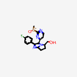 C[S+]([O-])c1nccc(-c2c(-c3ccc(F)cc3)nc3n2C(CO)CC3)n1